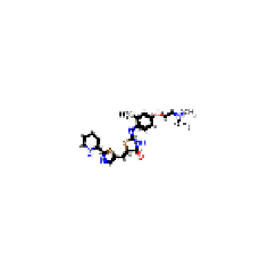 Cc1cc(OCCN(C)C)ccc1N=C1NC(=O)C(=Cc2cnc(C3CCCCN3)s2)S1